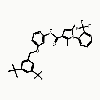 Cc1cc(C(=O)Nc2cccc(OCc3cc(C(C)(C)C)cc(C(C)(C)C)c3)c2)c(C)n1-c1ccccc1C(F)(F)F